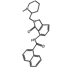 CN1CCCCC1CN1Cc2cccc(NC(=O)c3cccc4ccccc34)c2C1=O